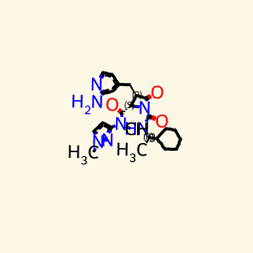 C[C@@H](NC(=O)N1C(=O)[C@H](Cc2ccnc(N)c2)[C@H]1C(=O)N(C)c1ccn(C)n1)C1CCCCC1